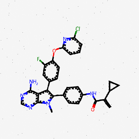 C=C(C(=O)Nc1ccc(-c2c(-c3ccc(Oc4cccc(Cl)n4)c(F)c3)c3c(N)ncnc3n2C)cc1)C1CC1